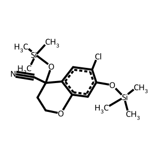 C[Si](C)(C)Oc1cc2c(cc1Cl)C(C#N)(O[Si](C)(C)C)CCO2